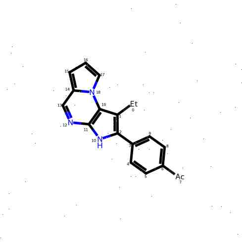 CCc1c(-c2ccc(C(C)=O)cc2)[nH]c2ncc3cccn3c12